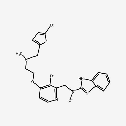 CCc1ccc(CN(C)CCOc2ccnc(C[S+]([O-])c3nc4ccccc4[nH]3)c2CC)s1